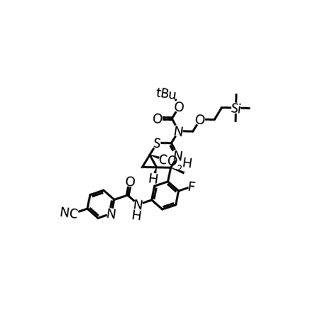 CC(C)(C)OC(=O)N(COCC[Si](C)(C)C)C1=N[C@](C)(c2cc(NC(=O)c3ccc(C#N)cn3)ccc2F)[C@@H]2C[C@]2(C(=O)O)S1